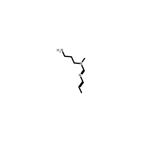 C/C=C/N=C/N(C)CCCN